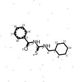 O=C(NC(=S)NCC1CCCCC1)c1ccccc1